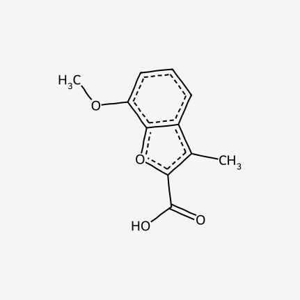 COc1cccc2c(C)c(C(=O)O)oc12